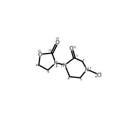 O=C1CN(Cl)CCN1N1CCOC1=O